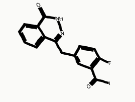 O=C(I)c1cc(Cc2n[nH]c(=O)c3ccccc23)ccc1F